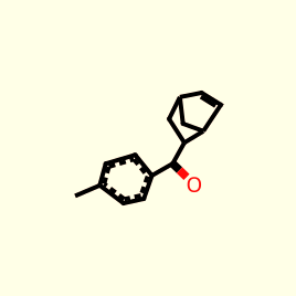 Cc1ccc(C(=O)C2CC3C=CC2C3)cc1